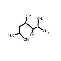 CCCN(CC(C)O)C(CC)N(C)C